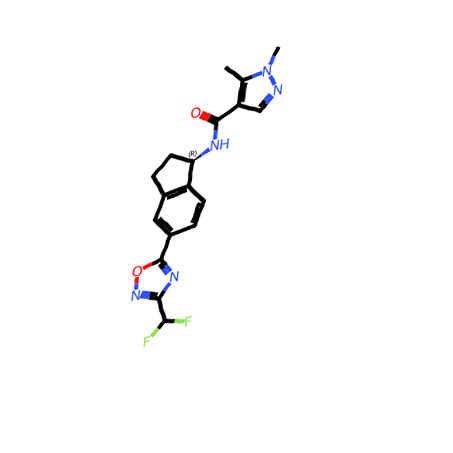 Cc1c(C(=O)N[C@@H]2CCc3cc(-c4nc(C(F)F)no4)ccc32)cnn1C